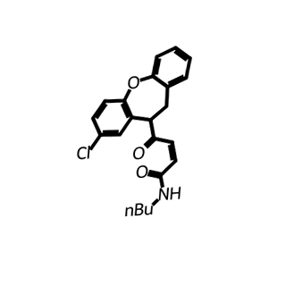 CCCCNC(=O)/C=C\C(=O)C1Cc2ccccc2Oc2ccc(Cl)cc21